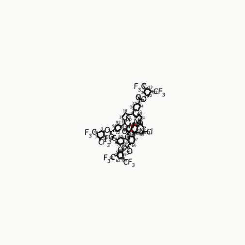 O=C(Oc1cc(C(F)(F)F)cc(C(F)(F)F)c1)c1ccc(/C2=C3\C=CC(=N3)/C(c3ccc(C(=O)Oc4cc(C(F)(F)F)cc(C(F)(F)F)c4)cc3)=c3/cc/c4n3Nn3c2ccc3/C(c2ccc(C(=O)Oc3cc(C(F)(F)F)cc(C(F)(F)F)c3)cc2)=C2/C=C(Cl)C(=N2)/C=4c2ccc(C(=O)Oc3cc(C(F)(F)F)cc(C(F)(F)F)c3)cc2)cc1